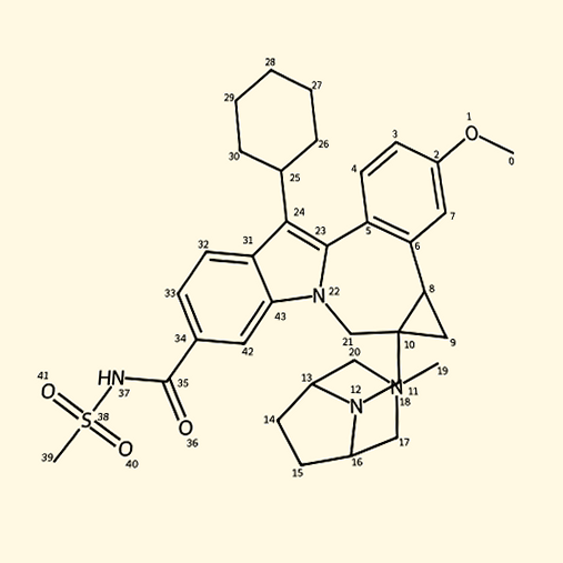 COc1ccc2c(c1)C1CC1(CN1C3CCC1CN(C)C3)Cn1c-2c(C2CCCCC2)c2ccc(C(=O)NS(C)(=O)=O)cc21